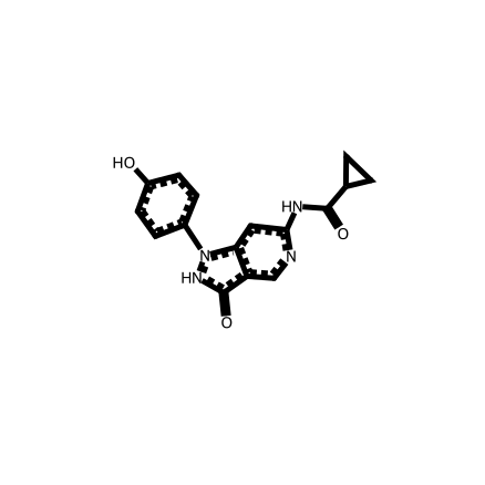 O=C(Nc1cc2c(cn1)c(=O)[nH]n2-c1ccc(O)cc1)C1CC1